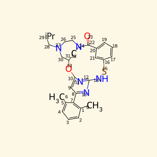 Cc1cccc(C)c1-c1cc2nc(n1)NSc1cccc(c1)C(=O)N1CCN(CC(C)C)CC(C1)O2